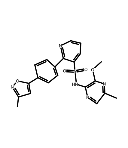 COc1nc(C)cnc1NS(=O)(=O)c1cccnc1-c1ccc(-c2cc(C)no2)cc1